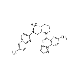 Cc1ccc(-n2nccn2)c(C(=O)N2CCC[C@@H](C)C2CNc2ncc3cc(C)ccc3n2)c1